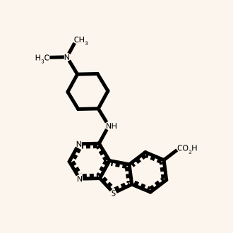 CN(C)C1CCC(Nc2ncnc3sc4ccc(C(=O)O)cc4c23)CC1